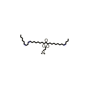 CCC/C=C\CCCCCCCC(OC(=O)CCN(C)C)C(=O)CCCCCCC/C=C\C/C=C\CCCCC